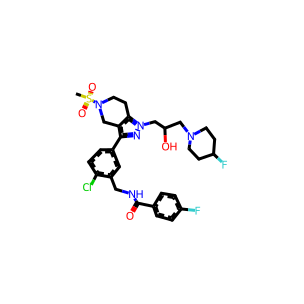 CS(=O)(=O)N1CCc2c(c(-c3ccc(Cl)c(CNC(=O)c4ccc(F)cc4)c3)nn2CC(O)CN2CCC(F)CC2)C1